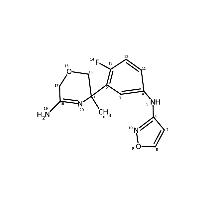 CC1(c2cc(Nc3ccon3)ccc2F)COCC(N)=N1